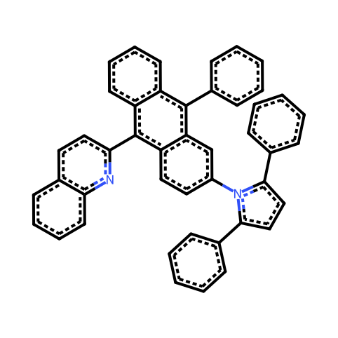 c1ccc(-c2c3ccccc3c(-c3ccc4ccccc4n3)c3ccc(-n4c(-c5ccccc5)ccc4-c4ccccc4)cc23)cc1